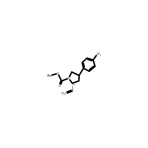 C=C[C@H]1CC(c2ccc(C(F)(F)F)cc2)CN1C(=O)OC(C)(C)C